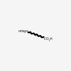 CCCCCCCC/C=C/C/C=C/CCCCC(=O)O